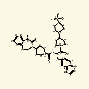 CS(=O)(=O)N1CCC(C2CCN(C(=O)[C@@H](Cc3ccc4nccnc4c3)OC(=O)N3CCC(N4CCc5ccccc5NC4=O)CC3)CC2)CC1